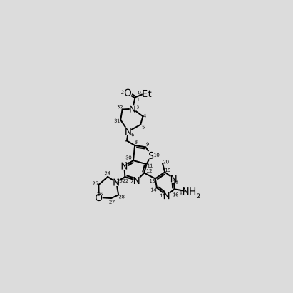 CCC(=O)N1CCN(Cc2csc3c(-c4cnc(N)nc4C)nc(N4CCOCC4)nc23)CC1